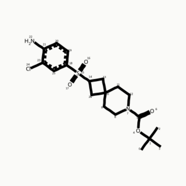 CC(C)(C)OC(=O)N1CCC2(CC1)CC(S(=O)(=O)c1ccc(N)c(Cl)c1)C2